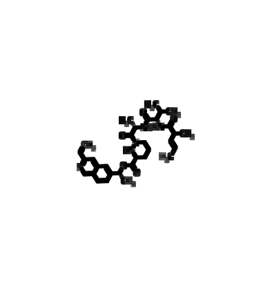 C=Cc1cc2cc([C@@H](C)OC(=O)[C@@H]3CCCN(C(=O)[C@H](C)NC(=O)[C@@H](NC(=O)C(C)/C=C/C)C(C)C)N3)ccc2cn1